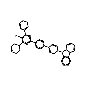 CC(C)c1c(C2=CCCC=C2)nc(-c2ccc(C3=CCC(N4c5ccccc5C5C=CC=CC54)C=C3)cc2)nc1C1CC=CCC1